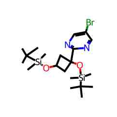 CC(C)(C)[Si](C)(C)OC1CC(O[Si](C)(C)C(C)(C)C)(c2ncc(Br)cn2)C1